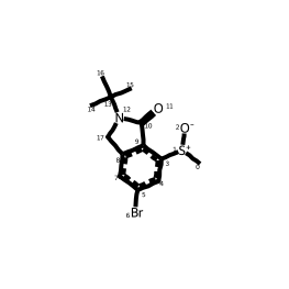 C[S+]([O-])c1cc(Br)cc2c1C(=O)N(C(C)(C)C)C2